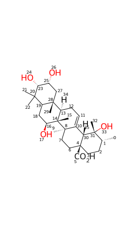 C[C@@H]1CC[C@]2(C(=O)O)CC[C@]3(C)C(=CC[C@H]4[C@@]3(C)[C@@H](O)CC3C(C)(C)[C@H](O)[C@H](O)C[C@@]34C)[C@@H]2[C@]1(C)O